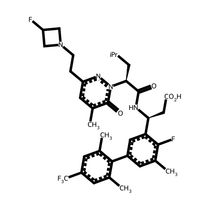 Cc1cc(-c2c(C)cc(C(F)(F)F)cc2C)cc([C@H](CC(=O)O)NC(=O)[C@H](CC(C)C)n2nc(CCN3CC(F)C3)cc(C)c2=O)c1F